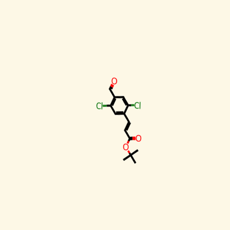 CC(C)(C)OC(=O)/C=C/c1cc(Cl)c(C=O)cc1Cl